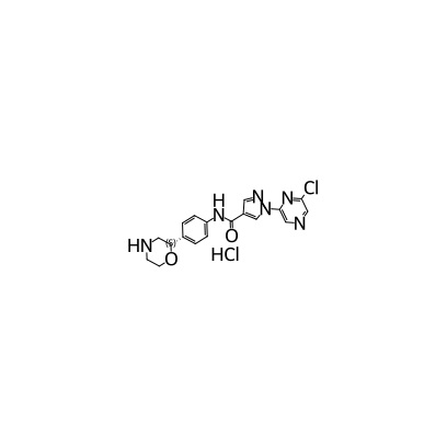 Cl.O=C(Nc1ccc([C@H]2CNCCO2)cc1)c1cnn(-c2cncc(Cl)n2)c1